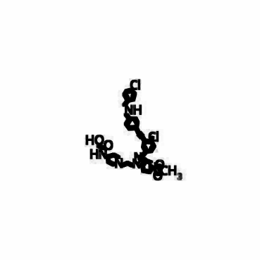 CS(=O)(=O)N1CCc2c(c(-c3ccc(Cl)c(C#Cc4ccc(CNCc5ccc(Cl)cc5)cc4)c3)nn2CCCN2CCC(NC(=O)CO)CC2)C1